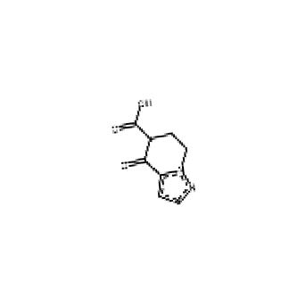 O=C(O)C1CCn2nccc2C1=O